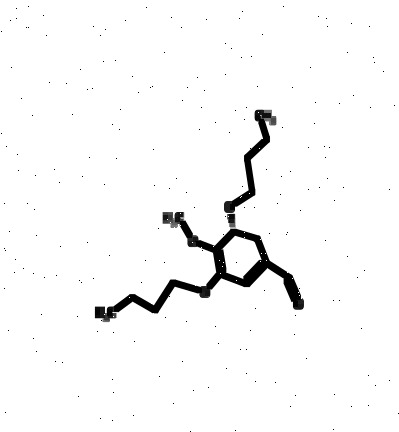 CCCCOC1=C(OC)[C@H](OCCCC)CC(C=O)=C1